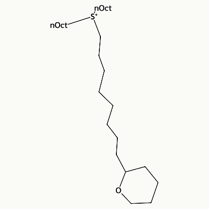 CCCCCCCC[S+](CCCCCCCC)CCCCCCCCC1CCCCO1